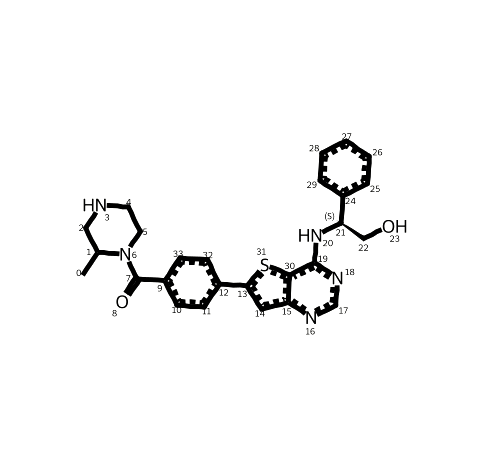 CC1CNCCN1C(=O)c1ccc(-c2cc3ncnc(N[C@H](CO)c4ccccc4)c3s2)cc1